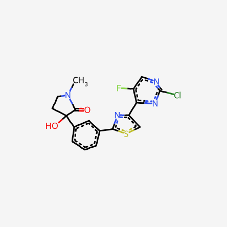 CN1CCC(O)(c2cccc(-c3nc(-c4nc(Cl)ncc4F)cs3)c2)C1=O